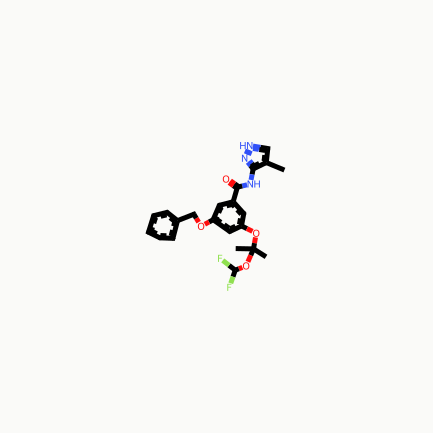 Cc1c[nH]nc1NC(=O)c1cc(OCc2ccccc2)cc(OC(C)(C)OC(F)F)c1